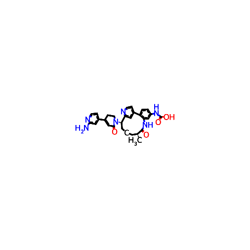 C[C@@H]1CCC[C@H](N2CCC(c3ccnc(N)c3)=CC2=O)c2cc(ccn2)-c2ccc(NC(=O)O)cc2NC1=O